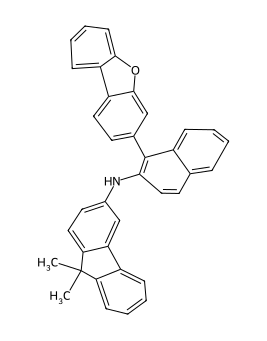 CC1(C)c2ccccc2-c2cc(Nc3ccc4ccccc4c3-c3ccc4c(c3)oc3ccccc34)ccc21